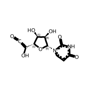 O=C=C(O)[C@H]1O[C@@H](n2ccc(=O)[nH]c2=O)[C@H](O)[C@@H]1O